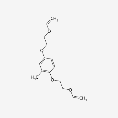 C=COCCOc1ccc(OCCOC=C)c(C)c1